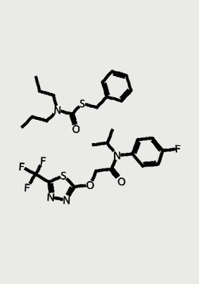 CC(C)N(C(=O)COc1nnc(C(F)(F)F)s1)c1ccc(F)cc1.CCCN(CCC)C(=O)SCc1ccccc1